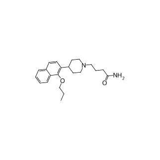 CCCOc1c(C2CCN(CCCC(N)=O)CC2)ccc2ccccc12